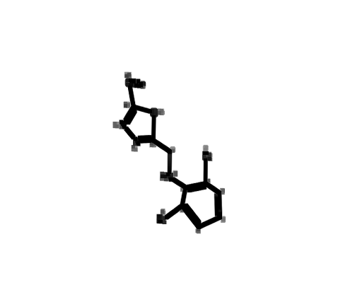 CCc1cccc(CC)c1NCc1nnc(OC)o1